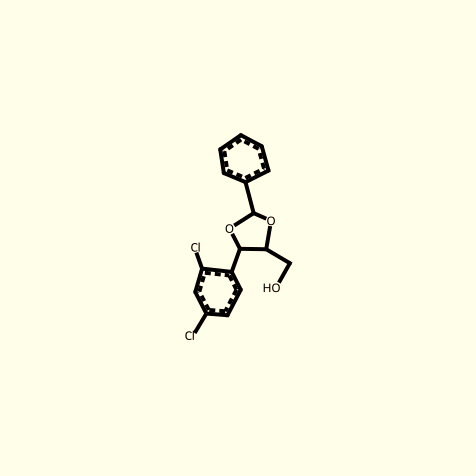 OCC1OC(c2ccccc2)OC1c1ccc(Cl)cc1Cl